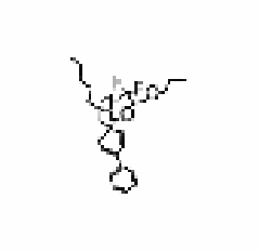 CCCCCCCC1(C(=O)OC(COCCC)C(F)(F)F)C=CC(c2ccccc2)=CC1